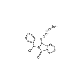 O=C1c2ccccc2C(=O)N1C(Cl)c1ccccc1.[Cl-].[Cl-].[Cl-].[Cl-].[Sn+4]